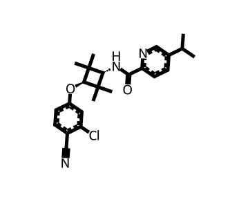 CC(C)c1ccc(C(=O)N[C@H]2C(C)(C)[C@H](Oc3ccc(C#N)c(Cl)c3)C2(C)C)nc1